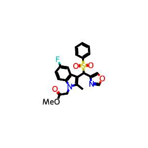 COC(=O)Cn1c(C)c(C(c2cocn2)S(=O)(=O)c2ccccc2)c2cc(F)ccc21